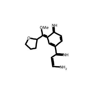 CO/C(=C1/C=C(C(=N)/C=C\N)C=CC1=N)C1CCCO1